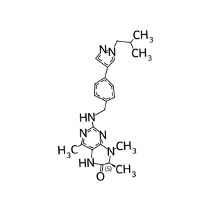 Cc1nc(NCc2ccc(-c3cnn(CC(C)C)c3)cc2)nc2c1NC(=O)[C@H](C)N2C